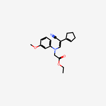 CCOC(=O)CN(C=C(C#N)C1=CCCC1)c1cccc(OC)c1